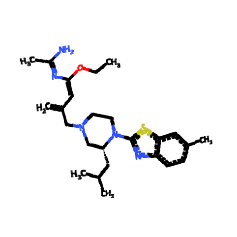 C=C(/C=C(\N=C(\C)N)OCC)CN1CCN(c2nc3ccc(C)cc3s2)[C@H](CC(C)C)C1